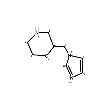 c1cn(CC2CNCCO2)cn1